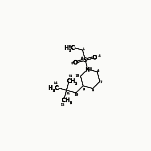 CCS(=O)(=O)N1CCCC(CC(C)(C)C)C1